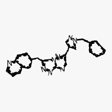 c1ccc(Cn2cc(-c3cnc4nnc(Cc5ccc6ncccc6c5)n4n3)cn2)cc1